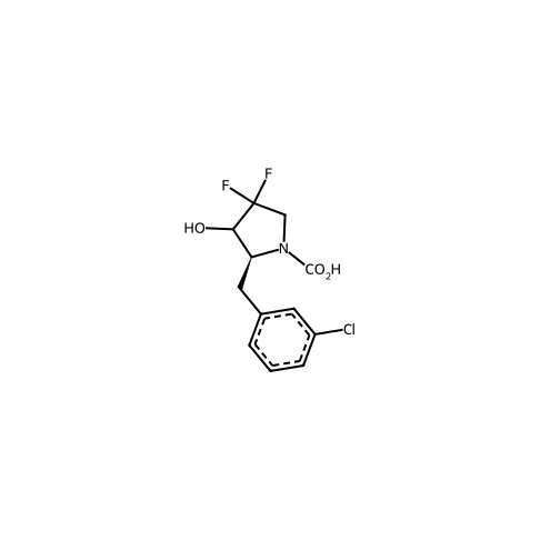 O=C(O)N1CC(F)(F)C(O)[C@@H]1Cc1cccc(Cl)c1